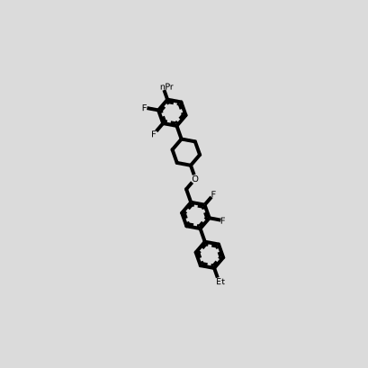 CCCc1ccc(C2CCC(OCc3ccc(-c4ccc(CC)cc4)c(F)c3F)CC2)c(F)c1F